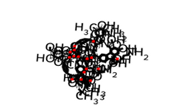 CC(C)C[C@H](C(=O)N[C@H]1C(=O)C[C@@H](CC(N)=O)C(=O)N[C@H]2C(=O)C[C@H]3C(=O)N[C@H](C(=O)N[C@H](C(=O)O)c4cc(O)cc5c4-c4cc3ccc4C5(O)O)[C@H](O[C@H]3C[C@](C)(N)[C@@H](O)[C@H](C)O3)c3ccc(c(Cl)c3)Oc3cc2cc(c3O[C@@H]2O[C@H](CO)[C@@H](O)[C@H](O)[C@H]2O[C@H]2C[C@](C)(NCc3ccc(-c4ccc(Cl)cc4)cc3)[C@@H](O)[C@H](C)O2)Oc2ccc(cc2Cl)[C@H]1O)N(C)C(=O)OCOC(=O)CNCCCNCCCN